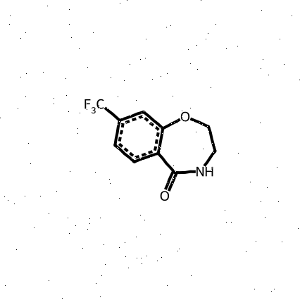 O=C1NCCOc2cc(C(F)(F)F)ccc21